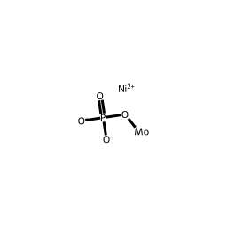 O=P([O-])([O-])[O][Mo].[Ni+2]